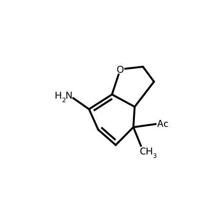 CC(=O)C1(C)C=CC(N)=C2OCCC21